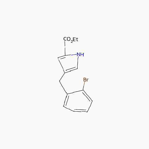 CCOC(=O)c1cc(Cc2ccccc2Br)c[nH]1